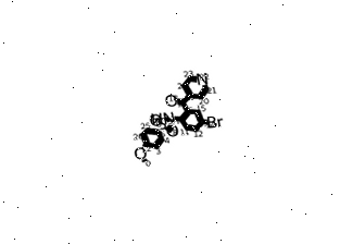 COc1ccc(S(=O)(=O)Nc2ccc(Br)cc2C(=O)c2ccncc2)cc1